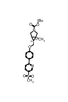 CC(C)(C)OC(=O)N1CC2[C@H](COc3ccc(-c4ccc(S(C)(=O)=O)cn4)cc3)[C@@]2(C)C1